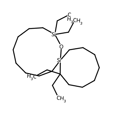 CCC1(CC)CCCCCCC[Si]12CCCCCCCC[Si](CC)(CC)O2